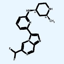 C[C@H]1C[C@@H](Nc2cccc(-c3cnc4cnc(C(F)F)cn34)n2)CCN1